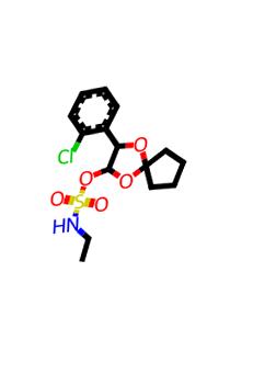 CCNS(=O)(=O)OC1OC2(CCCC2)OC1c1ccccc1Cl